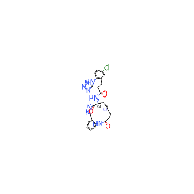 O=C1CC/C=C/C[C@H](NC(=O)CCc2cc(Cl)ccc2-n2cnnn2)c2nnc(o2)-c2ccccc2N1